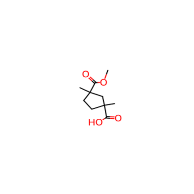 COC(=O)C1(C)CCC(C)(C(=O)O)C1